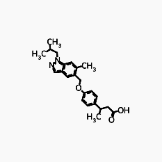 Cc1cc2c(cnn2CC(C)C)cc1COc1ccc(C(C)CC(=O)O)cc1